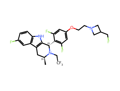 C[C@H]1Cc2c([nH]c3ccc(F)cc23)[C@H](c2c(F)cc(OCCN3CC(CF)C3)cc2F)N1CC(F)(F)F